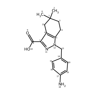 CC1(C)CCc2c(c(C(=O)O)nn2Cc2ccc(N)cc2)C1